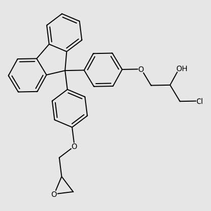 OC(CCl)COc1ccc(C2(c3ccc(OCC4CO4)cc3)c3ccccc3-c3ccccc32)cc1